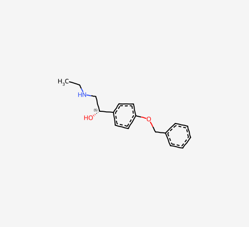 CCNC[C@@H](O)c1ccc(OCc2ccccc2)cc1